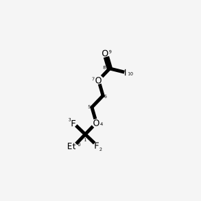 CCC(F)(F)OCCOC(=O)I